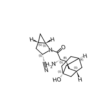 N#C[C@@H]1C[C@@H]2C[C@@H]2N1C(=O)[C@@H](N)[C@@]12C[C@@H]3C[C@@H](C[C@@](O)(C3)C1)C2